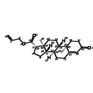 C=CCOC(=O)[C@H]1CC[C@H]2[C@@H]3CCC4=CC(=O)CC[C@]4(C)[C@H]3CC[C@]12C